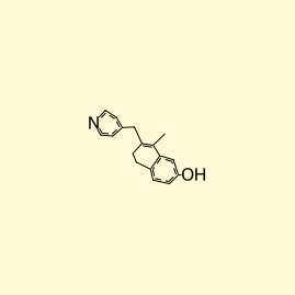 CC1=C(Cc2ccncc2)CCc2ccc(O)cc21